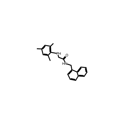 Cc1cc(C)c(PCC(=O)NCc2cccc3ccccc23)c(C)c1